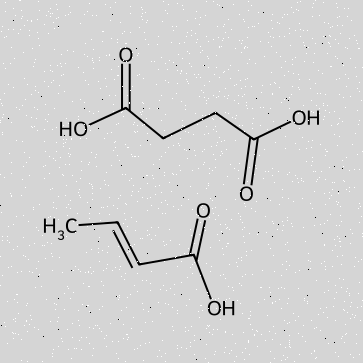 CC=CC(=O)O.O=C(O)CCC(=O)O